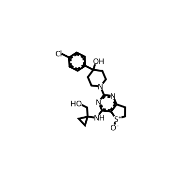 [O-][S+]1CCc2nc(N3CCC(O)(c4ccc(Cl)cc4)CC3)nc(NC3(CO)CC3)c21